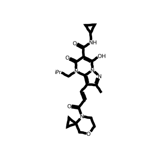 Cc1nn2c(O)c(C(=O)NC3CC3)c(=O)n(CC(C)C)c2c1/C=C/C(=O)N1CCOCC12CC2